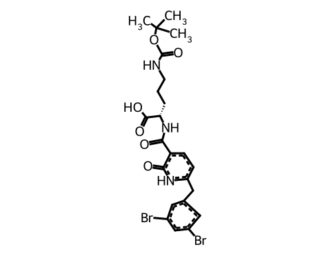 CC(C)(C)OC(=O)NCCC[C@H](NC(=O)c1ccc(Cc2cc(Br)cc(Br)c2)[nH]c1=O)C(=O)O